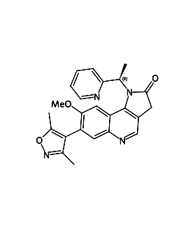 COc1cc2c3c(cnc2cc1-c1c(C)noc1C)CC(=O)N3[C@H](C)c1ccccn1